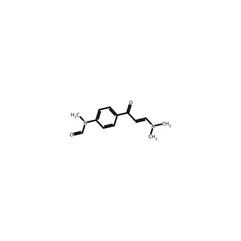 CN(C)C=CC(=O)c1ccc(N(C)C=O)cc1